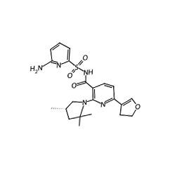 C[C@@H]1CN(c2nc(C3=COCC3)ccc2C(=O)NS(=O)(=O)c2cccc(N)n2)C(C)(C)C1